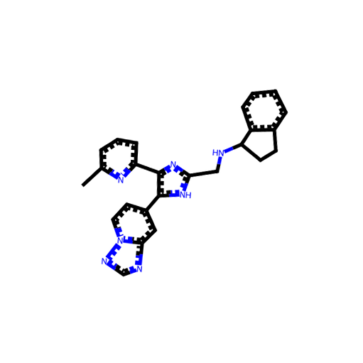 Cc1cccc(-c2nc(CNC3CCc4ccccc43)[nH]c2-c2ccn3ncnc3c2)n1